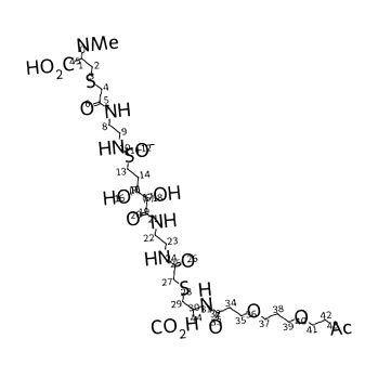 CNC(CSCC(=O)NCCN[S+]([O-])CC[C@@H](O)[C@H](O)C(=O)NCCNC(=O)CSCC(NC(=O)CCOCCCOCCC(C)=O)C(=O)O)C(=O)O